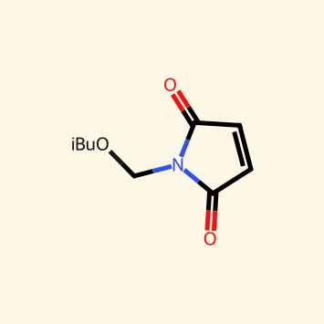 CC(C)COCN1C(=O)C=CC1=O